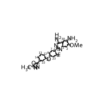 COc1cc2nc(-c3ccc(Oc4cccc(-c5nnc(C)o5)c4)cc3F)nc(N)c2cc1N